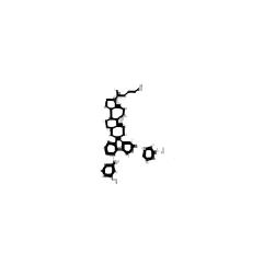 CC(C)CCCC(C)C1CCC2C3CCC4CC(c5cccc(Oc6cccc(N)c6)c5)(c5cccc(Oc6cccc(N)c6)c5)CCC4(C)C3CCC12C